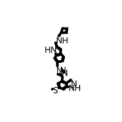 CSc1cc(-c2cn(Cc3ccc4cc(CNCC5CCC5)[nH]c4c3)nn2)c2cn[nH]c2c1